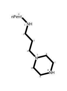 CCCCCNCCCN1CCNCC1